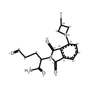 NC(=O)C(CCC=O)N1C(=O)c2cccc(N3CC(I)C3)c2C1=O